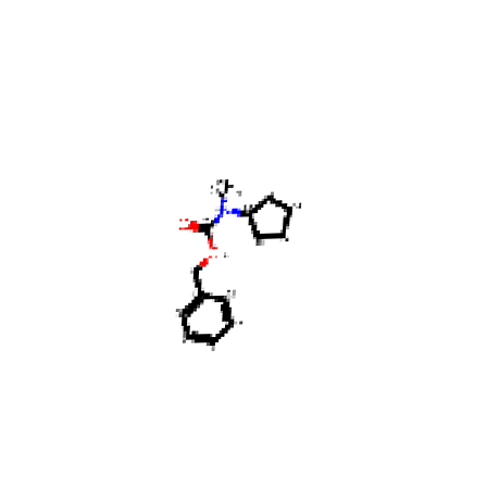 CN(C(=O)OCc1ccccc1)C1CCCC1